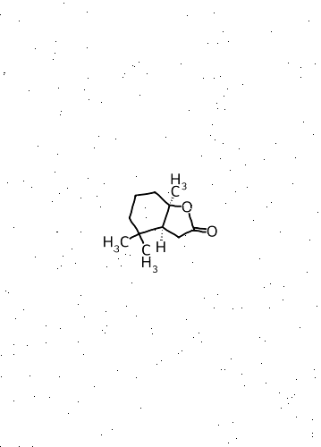 CC1(C)CCC[C@@]2(C)OC(=O)C[C@@H]12